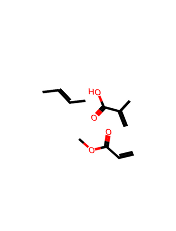 C=C(C)C(=O)O.C=CC(=O)OC.CC=CC